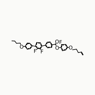 C=CCCCOc1ccc(OC(=O)c2ccc(-c3ccc(-c4ccc(OCCCC)cc4)c(F)c3F)cc2)c(F)c1